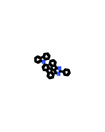 c1ccc(-c2ncc3c(n2)-c2ccccc2C32c3ccccc3-c3ccc(-n4c5ccccc5c5ccccc54)cc32)cc1